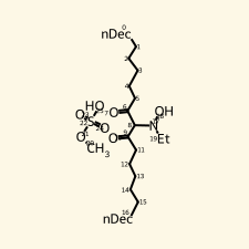 CCCCCCCCCCCCCCCC(=O)C(C(=O)CCCCCCCCCCCCCCC)N(O)CC.COS(=O)(=O)O